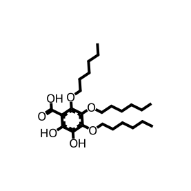 CCCCCCOc1c(O)c(O)c(C(=O)O)c(OCCCCCC)c1OCCCCCC